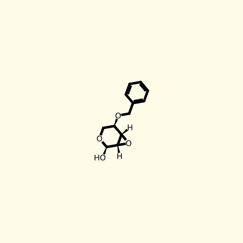 O[C@H]1OC[C@@H](OCc2ccccc2)[C@@H]2O[C@@H]21